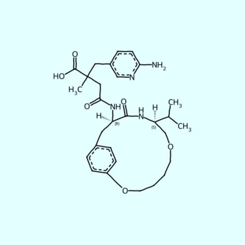 CC(C)[C@H]1COCCCCOc2ccc(cc2)C[C@@H](NC(=O)CC(C)(Cc2ccc(N)nc2)C(=O)O)C(=O)N1